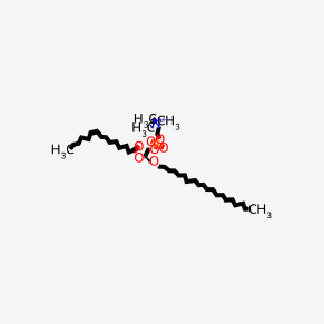 CCCCC/C=C\CCCCCCCC(=O)O[C@H](COCCCCCCCCCCCCCCCCCCCC)COP(=O)([O-])OCC[N+](C)(C)C